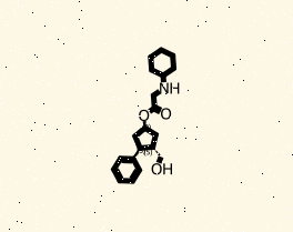 O=C(CNC1CCCCC1)O[C@H]1C[C@H](CO)[C@@H](c2ccccc2)C1